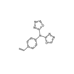 C=Cc1ccc(N(c2nnco2)c2nnco2)cc1